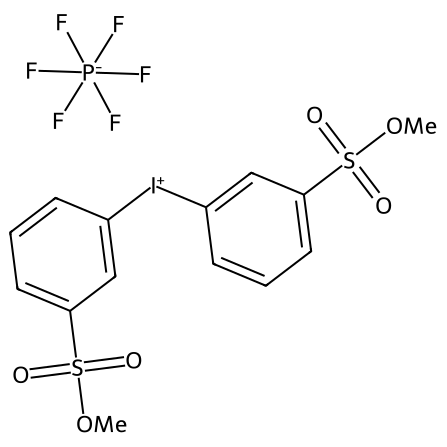 COS(=O)(=O)c1cccc([I+]c2cccc(S(=O)(=O)OC)c2)c1.F[P-](F)(F)(F)(F)F